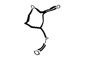 O=PC1COC1=O